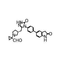 O=CC1(N2CC[C@@H](Cc3n[nH]c(=O)n3-c3ccc(-c4ccc5c(c4)CC(=O)N5)cc3)C2)CC1